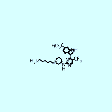 NCCCCCCN1CCC[C@H](Nc2ncc(C(F)(F)F)c(-c3c[nH]c4cc(C(=O)O)ccc34)n2)C1